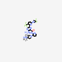 CNC1(C)CCN(c2cccnc2NC(=O)c2nc(-c3nc(N4CC(F)(F)C4)ccc3C(F)(F)F)cnc2N)CC1